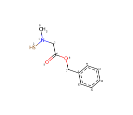 CN(S)CC(=O)OCc1ccccc1